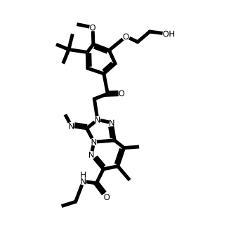 CCNC(=O)c1nn2/c(=N/C)n(CC(=O)c3cc(OCCO)c(OC)c(C(C)(C)C)c3)nc2c(C)c1C